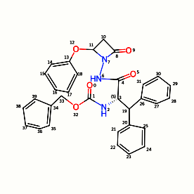 O=C(N[C@H](C(=O)NN1C(=O)CC1Oc1ccccc1)C(c1ccccc1)c1ccccc1)OCc1ccccc1